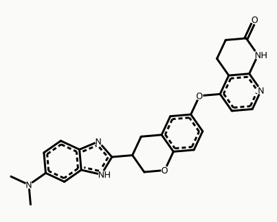 CN(C)c1ccc2nc(C3COc4ccc(Oc5ccnc6c5CCC(=O)N6)cc4C3)[nH]c2c1